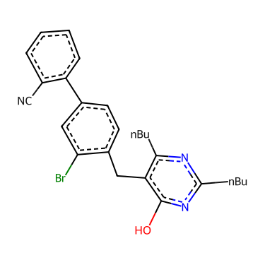 CCCCc1nc(O)c(Cc2ccc(-c3ccccc3C#N)cc2Br)c(CCCC)n1